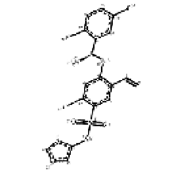 C=Cc1cc(S(=O)(=O)Nc2cscn2)c(F)cc1N[C@@H](N)c1cc(F)ccc1F